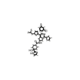 O=C(N[C@H]1CC2=C(C3=NC(CC(F)F)C=C3)[C@H](c3ccc(F)cc3Cl)N=C(C3CC=CS3)N2C1)N1CCC(O)(c2ncc[nH]2)CC1